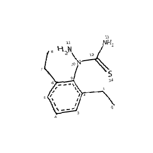 CCc1cccc(CC)c1N(N)C(N)=S